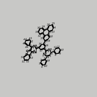 c1ccc(-c2cc(-c3ccccc3)nc(-c3cc(-c4ccc5c6ccccc6c6ccccc6c5c4)cc(-c4nc(-c5ccccc5)c5sc6ccccc6c5n4)c3)n2)cc1